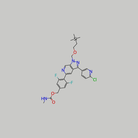 CNC(=O)OCc1cc(F)c(-c2cc3c(-c4ccc(Cl)nc4)nn(COCC[Si](C)(C)C)c3cn2)c(F)c1